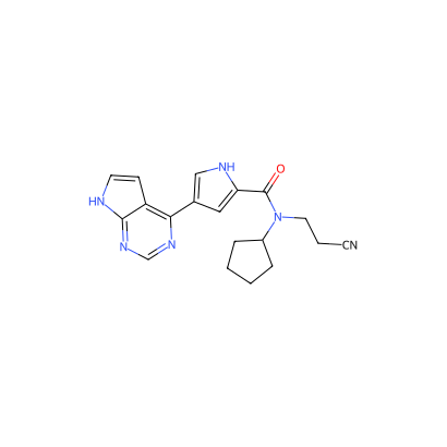 N#CCCN(C(=O)c1cc(-c2ncnc3[nH]ccc23)c[nH]1)C1CCCC1